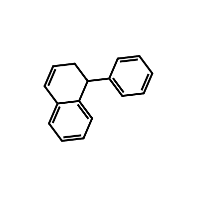 C1=Cc2ccccc2[C](c2ccccc2)C1